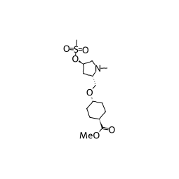 COC(=O)[C@H]1CC[C@H](OC[C@@H]2C[C@@H](OS(C)(=O)=O)CN2C)CC1